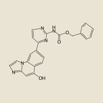 O=C(Nc1nccc(-c2ccc3c(O)cc4nccn4c3c2)n1)OCc1ccccc1